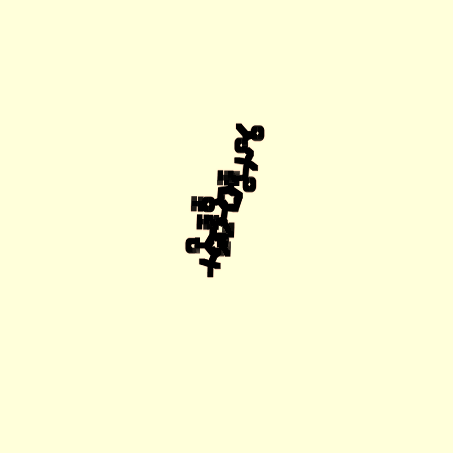 CC(=O)OCC(C)(C)C(=O)Nc1ccc(-c2nn3nc(C(C)(C)C)c(Cl)c3[nH]2)c(O)c1